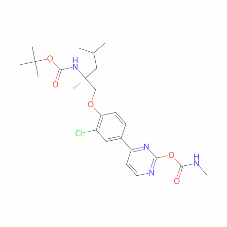 CNC(=O)Oc1nccc(-c2ccc(OC[C@](C)(CC(C)C)NC(=O)OC(C)(C)C)c(Cl)c2)n1